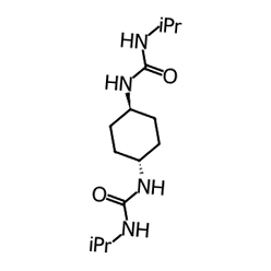 CC(C)NC(=O)N[C@H]1CC[C@H](NC(=O)NC(C)C)CC1